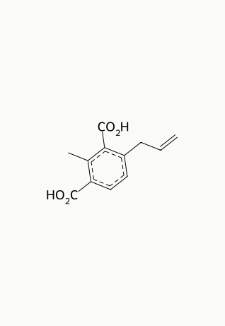 C=CCc1ccc(C(=O)O)c(C)c1C(=O)O